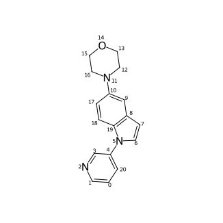 c1cncc(-n2ccc3cc(N4CCOCC4)ccc32)c1